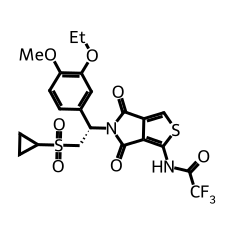 CCOc1cc([C@@H](CS(=O)(=O)C2CC2)N2C(=O)c3csc(NC(=O)C(F)(F)F)c3C2=O)ccc1OC